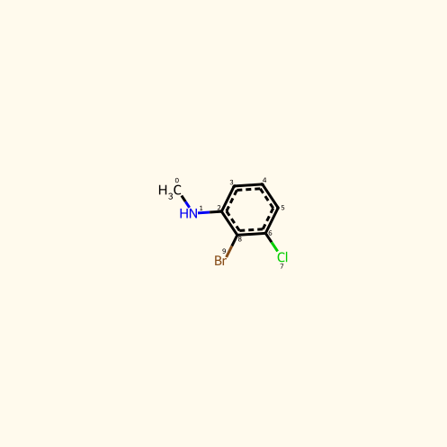 CNc1cccc(Cl)c1Br